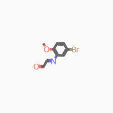 COc1ccc(Br)cc1N=CC=O